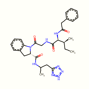 CC[C@H](C)[C@H](NC(=O)Cc1ccccc1)C(=O)NCC(=O)N1c2ccccc2C[C@H]1C(=O)NC(C)Cc1nn[nH]n1